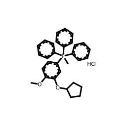 COc1ccc(P(C)(c2ccccc2)(c2ccccc2)c2ccccc2)cc1OC1CCCC1.Cl